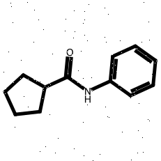 O=C(Nc1[c]cccc1)C1CCCC1